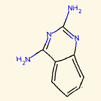 Nc1nc(N)c2cc[c]cc2n1